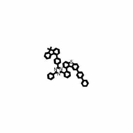 CC1(C)c2ccccc2-c2c(-c3ccc(-c4nc(-c5ccccc5)nc(-c5ccccc5-c5cccc6sc7ccc(-c8ccc(C9=CCCC=C9)cc8)cc7c56)n4)cc3)cccc21